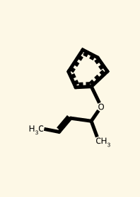 CC=CC(C)Oc1ccccc1